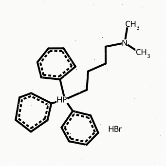 Br.CN(C)CCCC[PH](c1ccccc1)(c1ccccc1)c1ccccc1